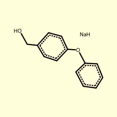 OCc1ccc(Oc2ccccc2)cc1.[NaH]